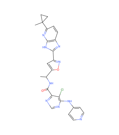 CC(NC(=O)c1ncnc(Nc2ccncc2)c1Cl)c1cc(-c2nc3ccc(C4(C)CC4)nc3[nH]2)no1